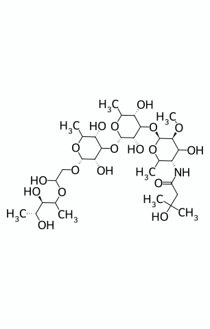 CO[C@H]1C(O)[C@H](NC(=O)CC(C)(C)O)C(C)O[C@H]1OC1[C@@H](O)C(C)O[C@@H](OC2[C@@H](O)C(C)O[C@@H](OCC(O)OC(C)[C@H](O)[C@@H](C)O)[C@H]2O)[C@H]1O